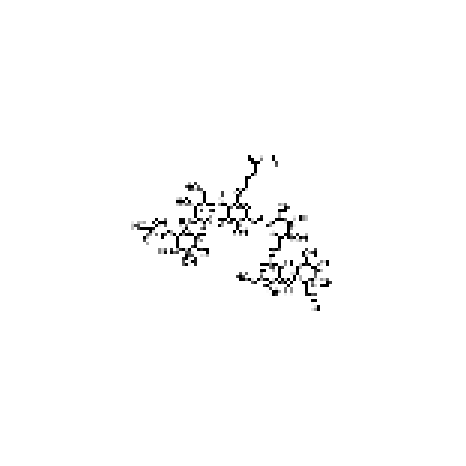 CC(=O)CCCO[C@@H]1OC(CO[C@H]2OC(CO[C@H]3OC(CO)[C@@H](O)[C@H](O)C3O[C@@H]3OC(COO)[C@@H](O)[C@H](O)C3O)[C@@H](O)[C@H](O)C2O)[C@@H](O)[C@H](O[C@H]2OC(CO)[C@@H](O)[C@H](O)C2O[C@H]2OC(COP(=O)(O)O)[C@@H](O)[C@H](O)C2O)C1O